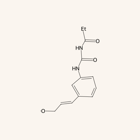 CCC(=O)NC(=O)Nc1cccc(C=CC[O])c1